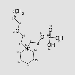 C=CCOCC[N+]1(CCOP(=O)(O)O)CCCCC1